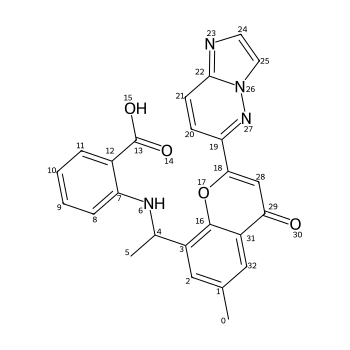 Cc1cc(C(C)Nc2ccccc2C(=O)O)c2oc(-c3ccc4nccn4n3)cc(=O)c2c1